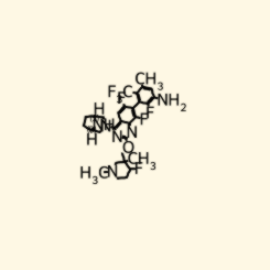 Cc1cc(N)c(F)c(-c2c(F)cc3c(N4C[C@H]5CC[C@@H](C4)N5)nc(OCC4(C)CN(C)CCC4F)nc3c2F)c1C(F)(F)F